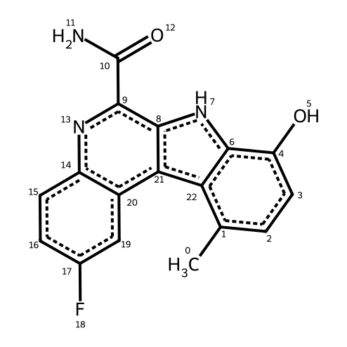 Cc1ccc(O)c2[nH]c3c(C(N)=O)nc4ccc(F)cc4c3c12